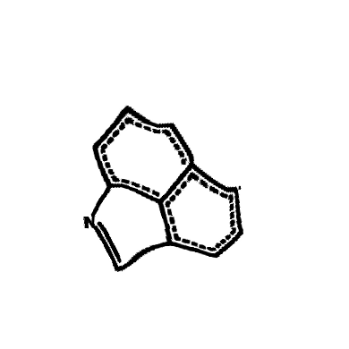 [c]1ccc2c3c(cccc13)N=C2